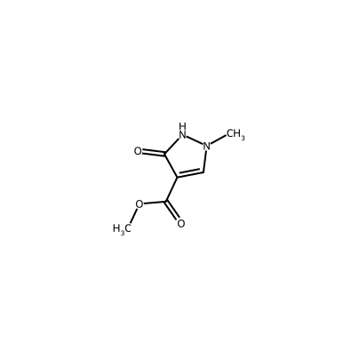 COC(=O)c1cn(C)[nH]c1=O